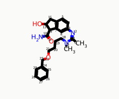 CC(=Nc1ccc2c(c1)C(C(N)=O)C(O)C2)N(C)CCCCOCc1ccccc1